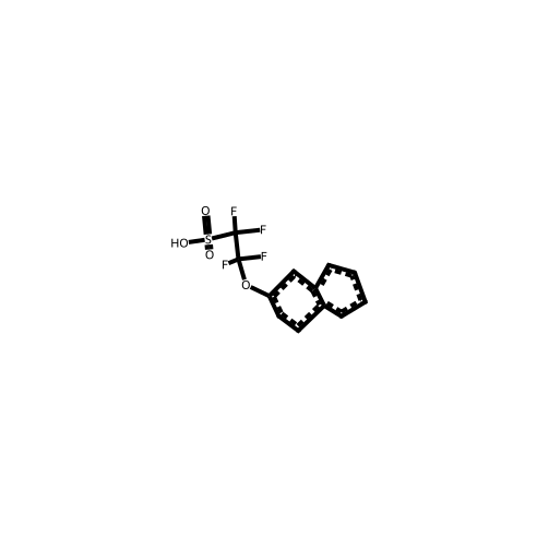 O=S(=O)(O)C(F)(F)C(F)(F)Oc1ccc2ccccc2c1